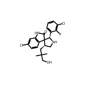 CC(C)(CO)C[C@@H]1CN[C@H](c2cccc(Cl)c2F)C12C(=O)Nc1cc(Cl)ccc12